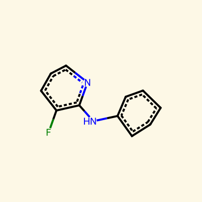 Fc1cccnc1Nc1ccccc1